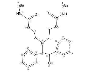 CCCCNC(=O)OCCN(CCOC(=O)NCCCC)C(c1ccccc1)C(O)c1ccccc1